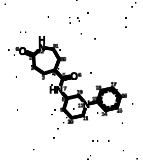 O=C1CCC(C(=O)NC2CCCN(c3ccccc3)C2)CCN1